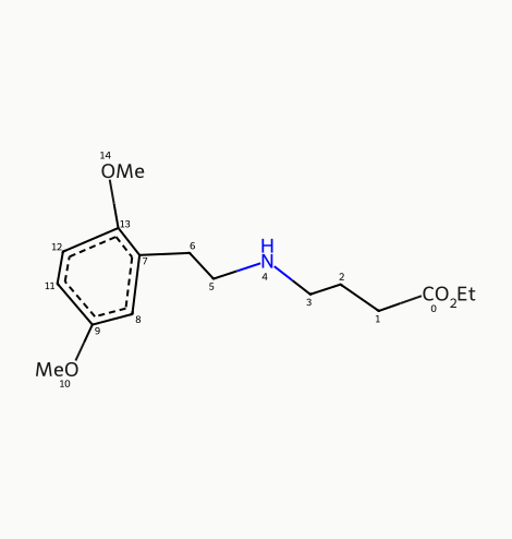 CCOC(=O)CCCNCCc1cc(OC)ccc1OC